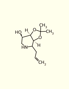 C=CCC1NC[C@@H](O)[C@H]2OC(C)(C)O[C@@H]12